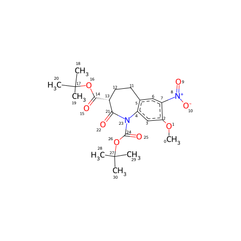 COc1cc2c(cc1[N+](=O)[O-])CC[C@@H](C(=O)OC(C)(C)C)C(=O)N2C(=O)OC(C)(C)C